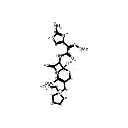 CO/N=C(\C(=O)NC1C(=O)N2C(C(=O)[O-])=C(C[N+]3(CC(=O)O)CCCC3)CS[C@@H]12)c1csc(N)n1